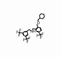 FC(F)(F)c1cc(CNCc2cc(C(F)(F)F)ccc2COCC2CCCCC2)cc(C(F)(F)F)c1